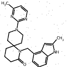 Cc1ccnc(N2CCC3(CCCC(=O)N3Cc3cccc4[nH]c(C)cc34)CC2)n1